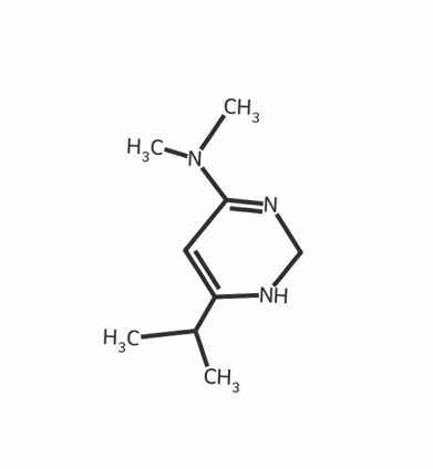 CC(C)C1=CC(N(C)C)=NCN1